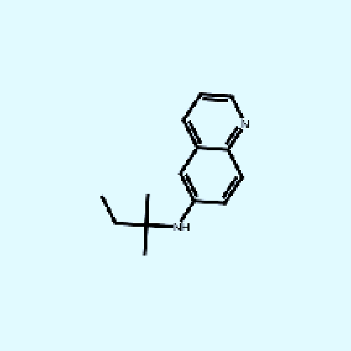 CCC(C)(C)Nc1ccc2ncccc2c1